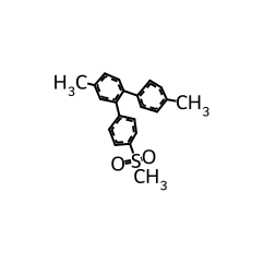 Cc1ccc(-c2ccc(C)cc2-c2ccc(S(C)(=O)=O)cc2)cc1